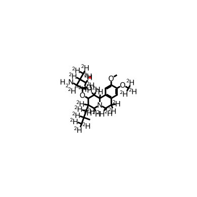 [2H]C([2H])([2H])Oc1cc2c(cc1OC)C1([2H])N(C([2H])([2H])C2([2H])[2H])C([2H])([2H])C([2H])(C([2H])([2H])C([2H])(C)C([2H])([2H])[2H])C(OC(=O)[C@@]([2H])(N)C([2H])(C([2H])([2H])[2H])C([2H])([2H])[2H])C1([2H])[2H]